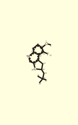 COc1ccc2ncc3c(c2c1F)CC(CC(C)(C)C)O3